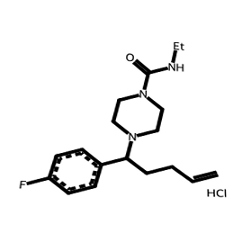 C=CCCC(c1ccc(F)cc1)N1CCN(C(=O)NCC)CC1.Cl